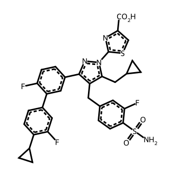 NS(=O)(=O)c1ccc(Cc2c(-c3ccc(F)c(-c4ccc(C5CC5)c(F)c4)c3)nn(-c3nc(C(=O)O)cs3)c2CC2CC2)cc1F